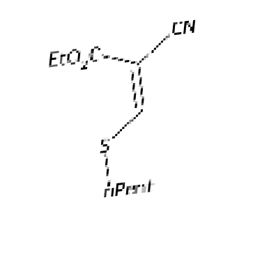 CCCCCSC=C(C#N)C(=O)OCC